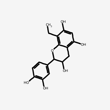 CCc1c(O)cc(O)c2c1OC(c1ccc(O)c(O)c1)C(O)C2